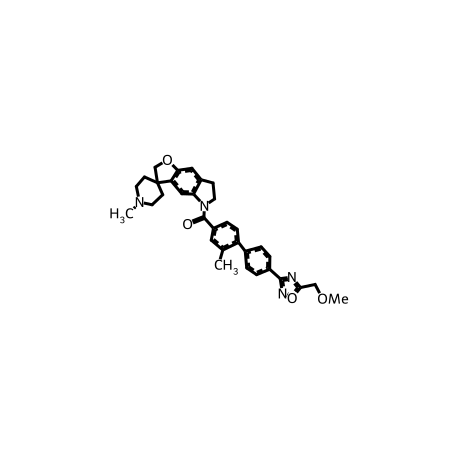 COCc1nc(-c2ccc(-c3ccc(C(=O)N4CCc5cc6c(cc54)C4(CCN(C)CC4)CO6)cc3C)cc2)no1